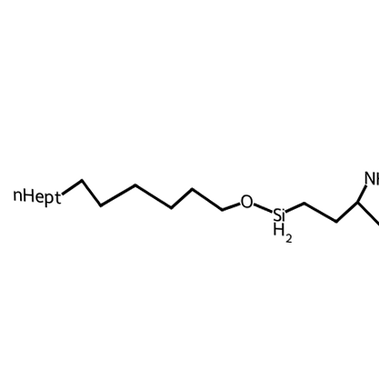 CCCCCCCCCCCCCO[SiH2]CCC(C)N